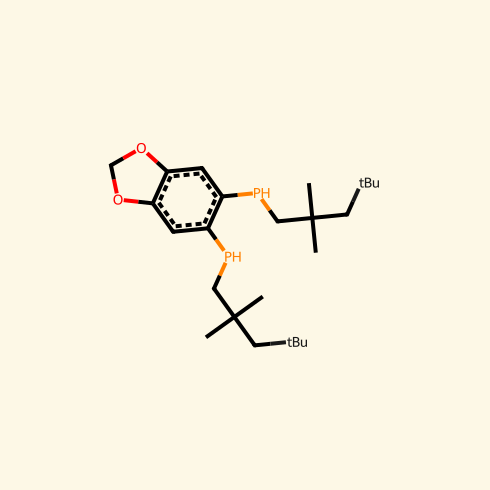 CC(C)(C)CC(C)(C)CPc1cc2c(cc1PCC(C)(C)CC(C)(C)C)OCO2